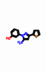 Nc1cc(-c2cccs2)nn1-c1cccc(O)c1